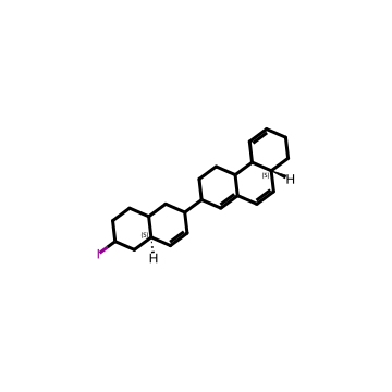 IC1CCC2CC(C3C=C4C=C[C@H]5CCC=CC5C4CC3)C=C[C@H]2C1